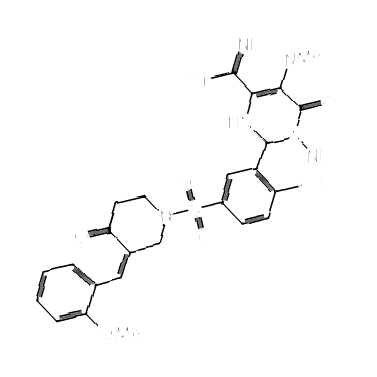 CCCC(=N)C1=C(NC)C(=O)N(N)C(c2cc(S(=O)(=O)N3CCC(=O)/C(=C\c4ccccc4OC)C3)ccc2C)N1